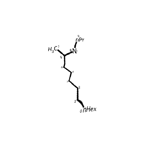 CCCCCCCCCCCC(C)[N]CCC